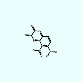 O=C1N=c2ccc([N+](=O)[O-])c([N+](=O)[O-])c2=NC1=O